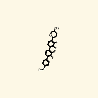 CCCC1CCC(c2ccc(-c3ccc(-c4ccc(OCC)cc4)c(F)c3F)c(F)c2F)OC1